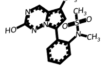 Cc1cc(-c2ccccc2N(C)S(C)(=O)=O)n2nc(O)ncc12